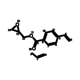 C=CC.C=Cc1ccc(C(=O)OCC2CO2)cc1